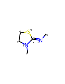 C/N=C1\SCCN1C